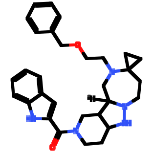 [2H]C12CN(CCOCc3ccccc3)C3(CCN1NC1CCN(C(=O)c4cc5ccccc5[nH]4)CC12)CC3